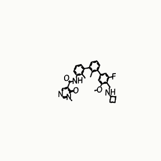 COc1cc(-c2cccc(-c3cccc(NC(=O)c4cncn(C)c4=O)c3C)c2C)cc(F)c1CNC1CCC1